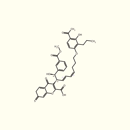 CCCc1c(OCCC/C=C\C=C\[C@@H](c2c(C(=O)O)oc3c(c2=O)=CCC(=S)C=3)[C@@H](O)c2cccc(C(=O)OC)c2)ccc(C(C)=O)c1O